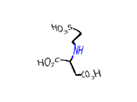 O=C(O)CC(NCCS(=O)(=O)O)C(=O)O